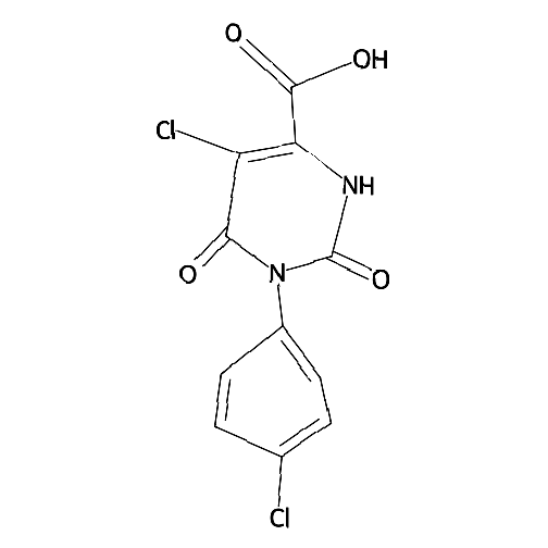 O=C(O)c1[nH]c(=O)n(-c2ccc(Cl)cc2)c(=O)c1Cl